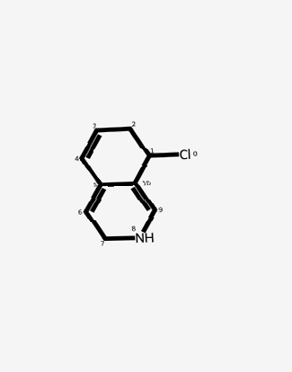 ClC1CC=CC2=CCNC=C21